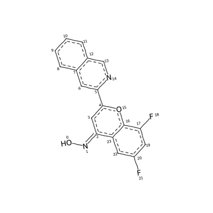 ON=c1cc(-c2cc3ccccc3cn2)oc2c(F)cc(F)cc12